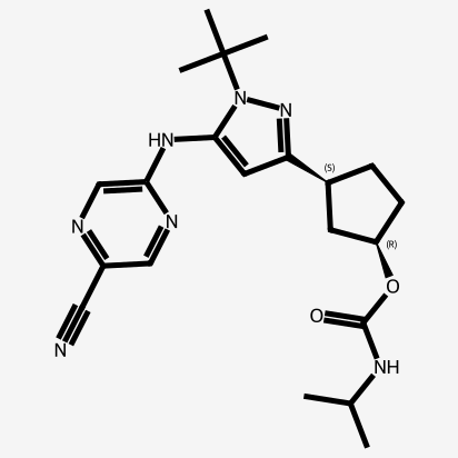 CC(C)NC(=O)O[C@@H]1CC[C@H](c2cc(Nc3cnc(C#N)cn3)n(C(C)(C)C)n2)C1